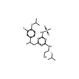 CC(C)C[C@H](CO)Nc1nc(CC(C)c2ccc(OC(C)C)c(F)c2)nc(NS(C)(=O)=O)n1